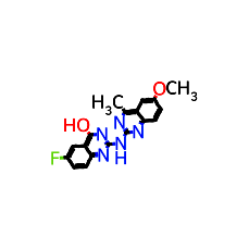 COc1ccc2nc(Nc3nc(O)c4cc(F)ccc4n3)nc(C)c2c1